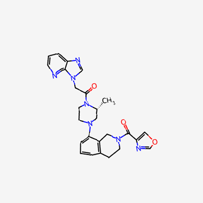 C[C@@H]1CN(c2cccc3c2CN(C(=O)c2cocn2)CC3)CCN1C(=O)Cn1cnc2cccnc21